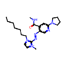 CCCCCCCn1cc[n+](C)c1/N=N/c1cnc(N2CCCC2)cc1C(=O)NC